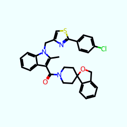 Cc1c(C(=O)N2CCC3(CC2)OCc2ccccc23)c2ccccc2n1Cc1csc(-c2ccc(Cl)cc2)n1